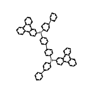 c1ccc(-c2ccc(N(c3ccc(-c4ccc(N(c5ccc(-c6ccccc6)cc5)c5ccc6c7ccccc7c7ccccc7c6c5)cc4)cc3)c3ccc4c5ccccc5c5ccccc5c4c3)cc2)cc1